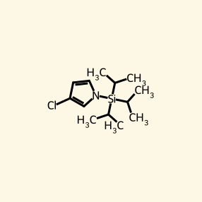 CC(C)[Si](C(C)C)(C(C)C)n1ccc(Cl)c1